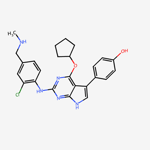 CNCc1ccc(Nc2nc(OC3CCCC3)c3c(-c4ccc(O)cc4)c[nH]c3n2)c(Cl)c1